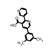 Cc1cc(C)cc(-c2cnc(-c3cccnc3)c(C(=O)O)c2)c1